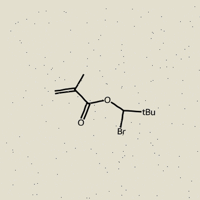 C=C(C)C(=O)OC(Br)C(C)(C)C